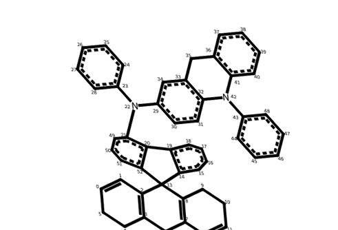 C1=CC2=C(CC1)CC1=C(CCC=C1)C21c2ccccc2-c2c(N(c3ccccc3)c3ccc4c(c3)Cc3ccccc3N4c3ccccc3)cccc21